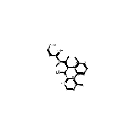 CCC(=O)/C(=C(/C)N(C)C(=N)/C=C\NC)c1c(C)cccc1-c1cnccc1C